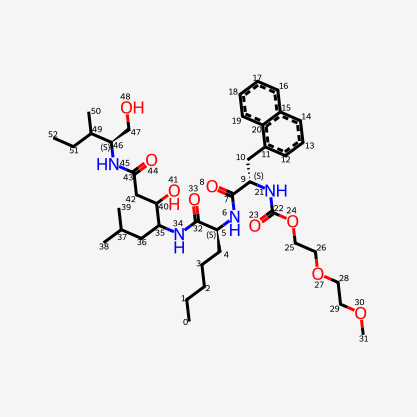 CCCCC[C@H](NC(=O)[C@H](Cc1cccc2ccccc12)NC(=O)OCCOCCOC)C(=O)NC(CC(C)C)C(O)CC(=O)N[C@H](CO)C(C)CC